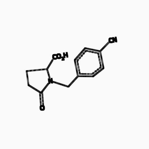 N#Cc1ccc(CN2C(=O)CCC2C(=O)O)cc1